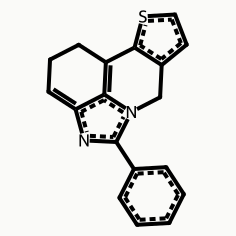 C1=c2nc(-c3ccccc3)n3c2=C(CC1)c1sccc1C3